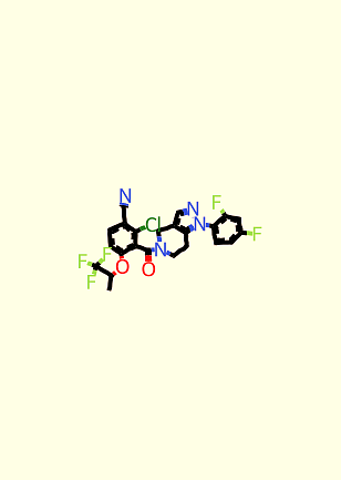 CC(Oc1ccc(C#N)c(Cl)c1C(=O)N1CCc2c(cnn2-c2ccc(F)cc2F)C1)C(F)(F)F